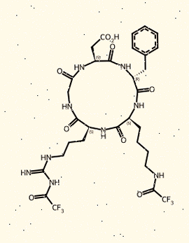 N=C(NCCC[C@@H]1NC(=O)[C@H](CCCCNC(=O)C(F)(F)F)NC(=O)[C@@H](Cc2ccccc2)NC(=O)[C@H](CC(=O)O)NC(=O)CNC1=O)NC(=O)C(F)(F)F